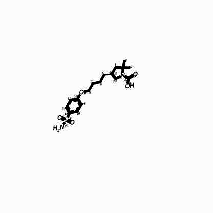 CC1(C)C[C@H](CCCCOc2ccc(S(N)(=O)=O)cc2)CN1C(=O)O